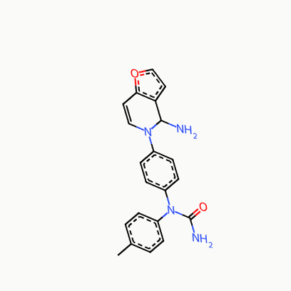 Cc1ccc(N(C(N)=O)c2ccc(N3C=Cc4occc4C3N)cc2)cc1